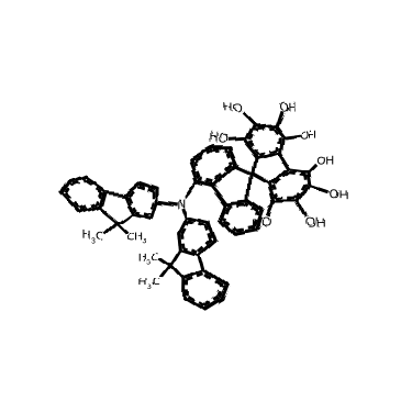 CC1(C)c2ccccc2-c2ccc(N(c3ccc4c(c3)C(C)(C)c3ccccc3-4)c3cccc4c3-c3ccccc3C43c4c(O)c(O)c(O)c(O)c4-c4c(O)c(O)c(O)c(O)c43)cc21